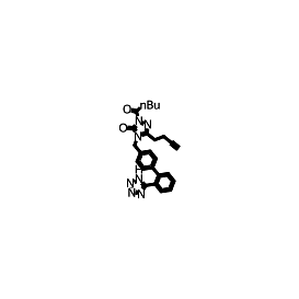 C#CCCc1nn(C(=O)CCCC)c(=O)n1Cc1ccc(-c2ccccc2-c2nnn[nH]2)cc1